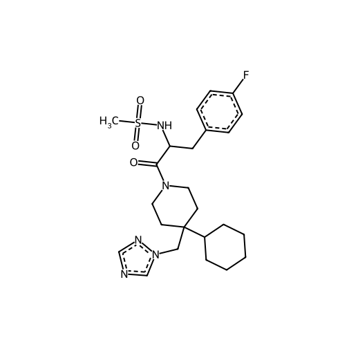 CS(=O)(=O)NC(Cc1ccc(F)cc1)C(=O)N1CCC(Cn2cncn2)(C2CCCCC2)CC1